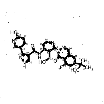 CC(C)(C)c1cc(F)c2c(=O)n(-c3nccc(NC(=O)c4c[nH]nc4-c4ccc(O)nc4)c3CO)ncc2c1